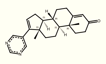 C[C@]12CCC(=O)C=C1CC[C@@H]1[C@@H]2CC[C@]2(C)C(c3cncnc3)=CC[C@@H]12